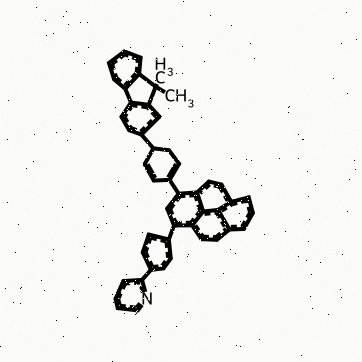 CC1(C)c2ccccc2-c2ccc(C3C=CC(c4cc(-c5ccc(-c6ccccn6)cc5)c5ccc6cccc7ccc4c5c76)=CC3)cc21